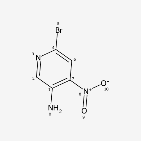 Nc1cnc(Br)cc1[N+](=O)[O-]